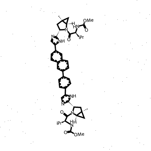 COC(=O)N[C@H](C(=O)N1[C@H](c2ncc(-c3ccc(-c4ccc5cc(-c6cnc([C@@H]7C[C@@]8(C)C[C@H]8N7C(=O)[C@@H](NC(=O)OC)C(C)C)[nH]6)ccc5c4)cc3)[nH]2)C[C@@]2(C)C[C@@H]12)C(C)C